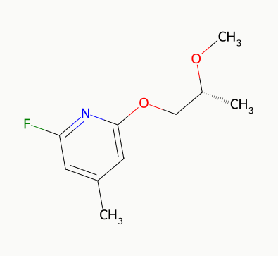 CO[C@H](C)COc1cc(C)cc(F)n1